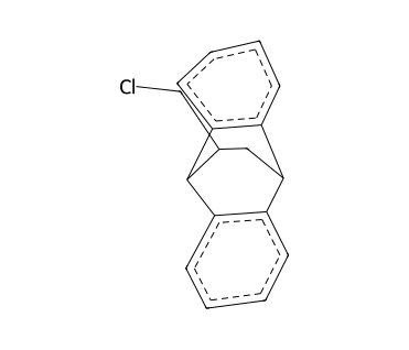 ClCC1CC2c3ccccc3C1c1ccccc12